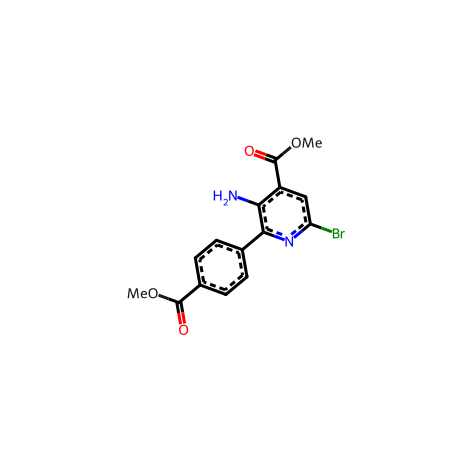 COC(=O)c1ccc(-c2nc(Br)cc(C(=O)OC)c2N)cc1